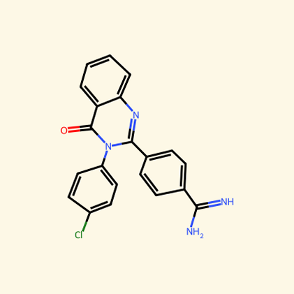 N=C(N)c1ccc(-c2nc3ccccc3c(=O)n2-c2ccc(Cl)cc2)cc1